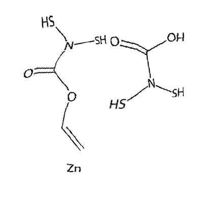 C=COC(=O)N(S)S.O=C(O)N(S)S.[Zn]